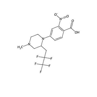 CN1CCN(c2ccc(C(=O)O)c([N+](=O)[O-])c2)C(CC(F)(F)C(F)(F)F)C1